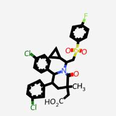 CC1(CC(=O)O)CC(c2cccc(Cl)c2)C(c2ccc(Cl)cc2)N(C(CS(=O)(=O)c2ccc(F)cc2)C2CC2)C1=O